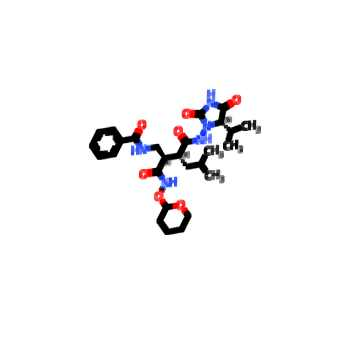 CC(C)C[C@@H](C(=O)NN1C(=O)NC(=O)[C@@H]1C(C)C)[C@H](CNC(=O)c1ccccc1)C(=O)NOC1CCCCO1